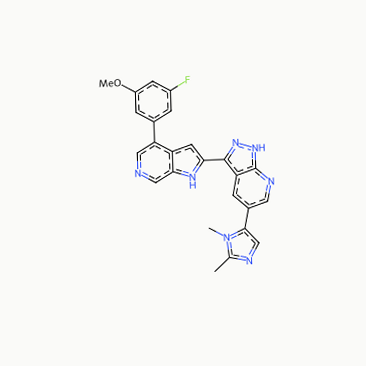 COc1cc(F)cc(-c2cncc3[nH]c(-c4n[nH]c5ncc(-c6cnc(C)n6C)cc45)cc23)c1